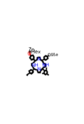 C#Cc1ccc(-c2c3nc(c(-c4c(C)cc(C)cc4C)c4ccc([nH]4)c(-c4ccc(OC)cc4)c4nc(c(-c5ccc(OCCCCCC)cc5)c5ccc2[nH]5)C=C4)C=C3)cc1.[Zn]